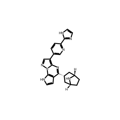 c1c[nH]c(-c2ccc(-c3cnn4c3nc([C@H]3C[C@H]5CC[C@@H](C3)N5)c3cc[nH]c34)cn2)n1